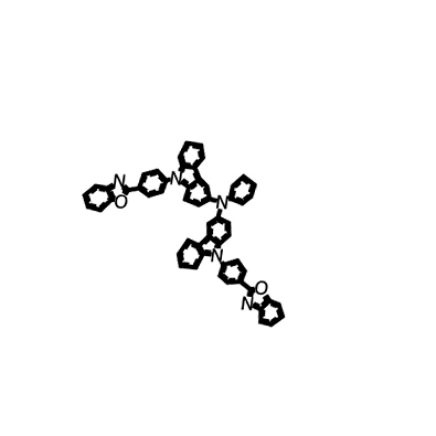 c1ccc(N(c2ccc3c(c2)c2ccccc2n3-c2ccc(-c3nc4ccccc4o3)cc2)c2ccc3c(c2)c2ccccc2n3-c2ccc(-c3nc4ccccc4o3)cc2)cc1